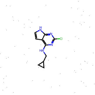 Clc1nc(NCC2CC2)c2cc[nH]c2n1